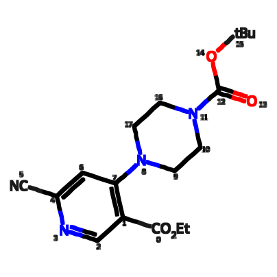 CCOC(=O)c1cnc(C#N)cc1N1CCN(C(=O)OC(C)(C)C)CC1